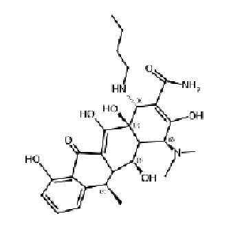 CCCCN[C@@H]1C(C(N)=O)=C(O)[C@@H](N(C)C)C2[C@@H](O)C3C(=C(O)[C@@]21O)C(=O)c1c(O)cccc1[C@@H]3C